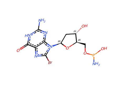 Nc1nc2c(nc(Br)n2[C@H]2C[C@H](O)[C@@H](COP(N)O)O2)c(=O)[nH]1